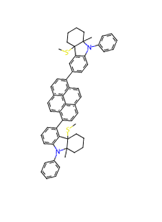 CSC12CCCCC1(C)N(c1ccccc1)c1ccc(-c3ccc4ccc5c(-c6cccc7c6C6(SC)CCCCC6(C)N7c6ccccc6)ccc6ccc3c4c65)cc12